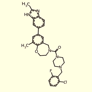 Cc1nc2ccc(-c3cc(C)c4c(c3)CN(C(=O)N3CCN(Cc5c(F)cccc5Cl)CC3)CCO4)cc2[nH]1